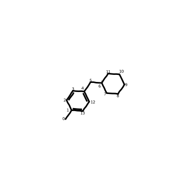 Cc1ccc(C[C]2CCCCC2)cc1